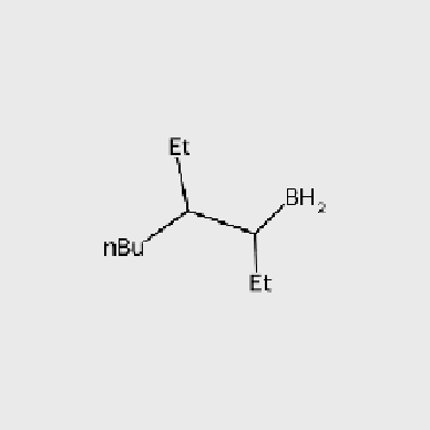 BC(CC)C(CC)CCCC